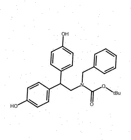 CC(C)(C)OC(=O)N(Cc1ccccc1)CC(c1ccc(O)cc1)c1ccc(O)cc1